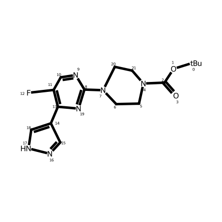 CC(C)(C)OC(=O)N1CCN(c2ncc(F)c(-c3cn[nH]c3)n2)CC1